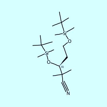 CC(C)(C#N)[C@H](CCO[Si](C)(C)C(C)(C)C)O[Si](C)(C)C(C)(C)C